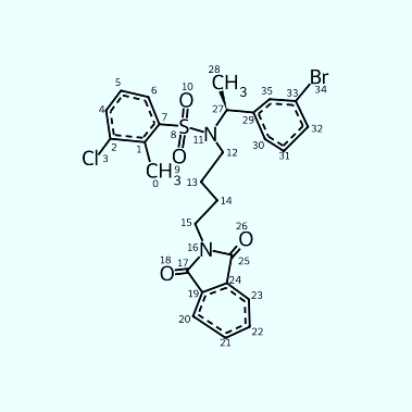 Cc1c(Cl)cccc1S(=O)(=O)N(CCCCN1C(=O)c2ccccc2C1=O)[C@@H](C)c1cccc(Br)c1